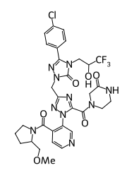 COCC1CCCN1C(=O)c1ccncc1-n1nc(Cn2nc(-c3ccc(Cl)cc3)n(CC(O)C(F)(F)F)c2=O)nc1C(=O)N1CCNC(=O)C1